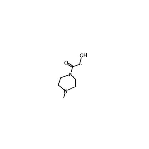 CN1CCN(C(=O)[CH]O)CC1